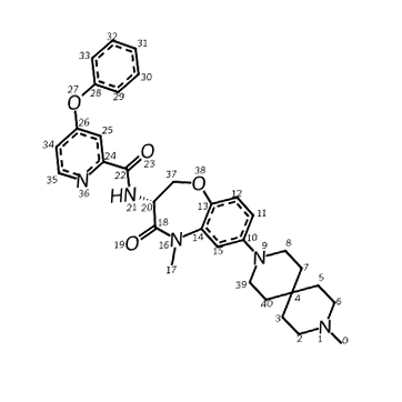 CN1CCC2(CC1)CCN(c1ccc3c(c1)N(C)C(=O)[C@H](NC(=O)c1cc(Oc4ccccc4)ccn1)CO3)CC2